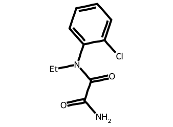 CCN(C(=O)C(N)=O)c1ccccc1Cl